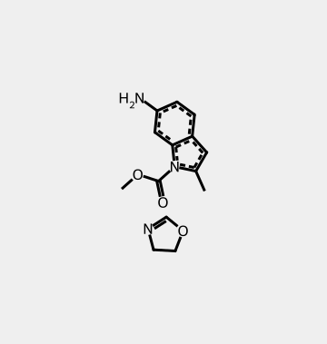 C1=NCCO1.COC(=O)n1c(C)cc2ccc(N)cc21